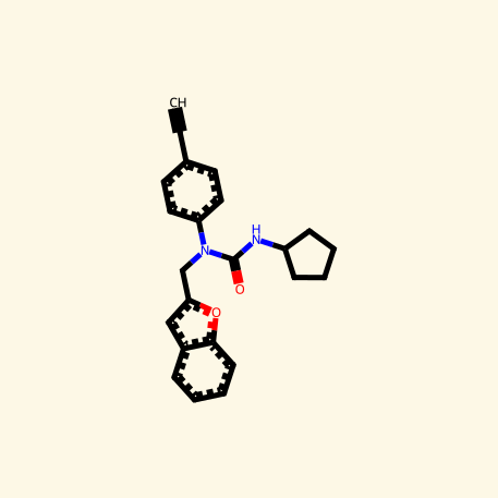 C#Cc1ccc(N(Cc2cc3ccccc3o2)C(=O)NC2CCCC2)cc1